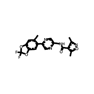 Cc1cc2c(cc1-c1cnc(NC(=O)c3c(C)noc3C)cn1)OC(F)(F)O2